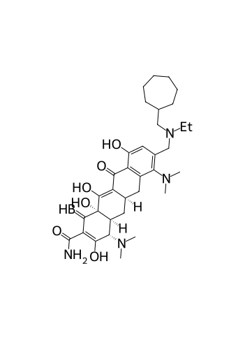 B=C1C(C(N)=O)=C(O)[C@@H](N(C)C)[C@@H]2C[C@@H]3Cc4c(c(O)cc(CN(CC)CC5CCCCCC5)c4N(C)C)C(=O)C3=C(O)[C@]12O